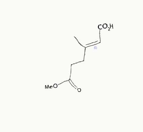 COC(=O)CC/C(C)=C/C(=O)O